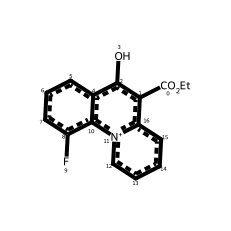 CCOC(=O)c1c(O)c2cccc(F)c2[n+]2ccccc12